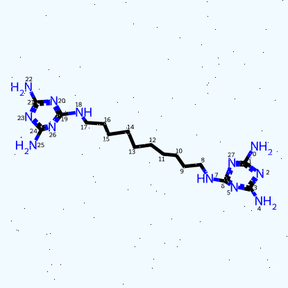 Nc1nc(N)nc(NCCCCCCCCCCNc2nc(N)nc(N)n2)n1